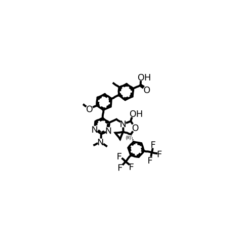 COc1ccc(-c2ccc(C(=O)O)cc2C)cc1-c1cnc(N(C)C)nc1CN1C(O)O[C@H](c2cc(C(F)(F)F)cc(C(F)(F)F)c2)C12CC2